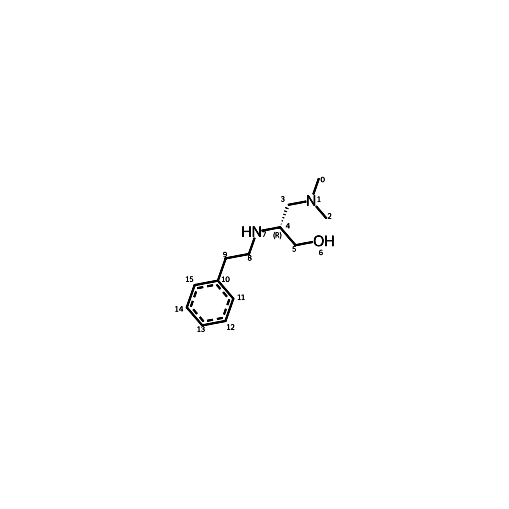 CN(C)C[C@H](CO)NCCc1ccccc1